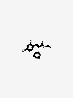 CCOC(=O)C=Cc1ccc(Cl)cc1Cl.c1ccncc1